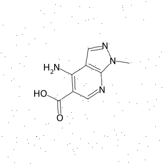 Cn1ncc2c(N)c(C(=O)O)cnc21